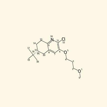 COCCCOc1cc2c(nc1Cl)CC[C@@H](C(C)(C)C)C2